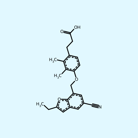 CCc1cc2cc(C#N)cc(COc3ccc(CCC(=O)O)c(C)c3C)c2o1